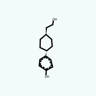 OCC[C@H]1CC[C@H](c2ccc(O)cc2)CC1